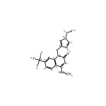 CNc1nc(=O)n(Cc2cn(SF)cn2)c2cc(C(F)(F)F)ccc12